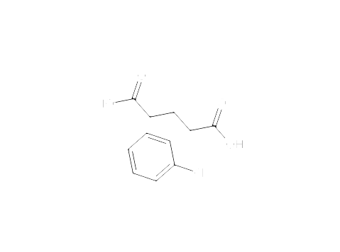 Clc1ccccc1.O=C(O)CCCC(=O)O